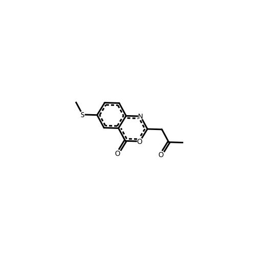 CSc1ccc2nc(CC(C)=O)oc(=O)c2c1